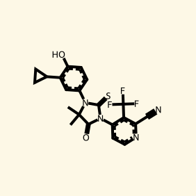 CC1(C)C(=O)N(c2ccnc(C#N)c2C(F)(F)F)C(=S)N1c1ccc(O)c(C2CC2)c1